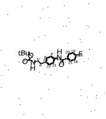 CC(C)(C)OC(=O)NCCc1ccc(NC(=O)c2ccc(F)cc2)cc1